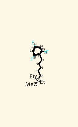 CC[Si](CC)(CCCCCc1c(F)cc(F)cc1F)OC